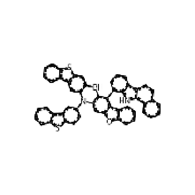 B1c2cc3sc4ccccc4c3cc2N(c2ccc3sc4ccccc4c3c2)c2cc3oc4ccccc4c3c(-c3cccc4c3[nH]c3c5ccccc5ccc43)c21